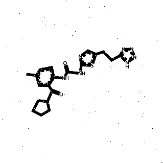 Cc1ccc(NC(=O)Nc2ncc(CCc3nnn[nH]3)s2)c(C(=O)C2CCCC2)c1